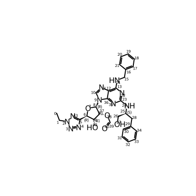 CCn1nnc([C@H]2O[C@@H](n3cnc4c(NCc5ccccc5)nc(N[C@H](CO)Cc5ccccc5)nc43)[C@H](OC=O)[C@@H]2O)n1